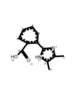 Cc1nc(-c2ccccc2C(=O)O)[nH]c1C